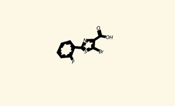 O=C(O)c1nc(-c2ccccc2F)sc1Br